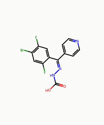 O=C(O)NN=C(c1ccncc1)c1cc(F)c(Br)cc1F